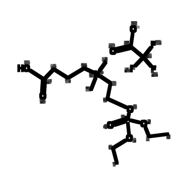 CCOP(=O)(OCC)OCC[N+](C)(C)CCCC(=O)O.O=C([O-])C(F)(F)F